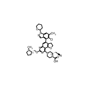 Cc1cc2c(cnn2C2CCCCO2)c(-c2cc3nc(OC[C@@H]4CCCN4C)nc(N4CCN(C(=O)O)[C@@H](CC#N)C4)c3c3c2CCO3)c1Cl